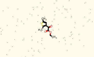 CCOC(=O)C(=O)c1cc(C)sc1C